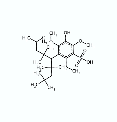 CCc1c(C(C(C)(C)CC(C)C)C(C)(C)CC(C)(C)C)c(OC)c(O)c(OC)c1S(=O)(=O)O